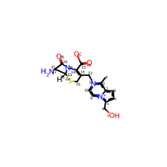 Cc1c2ccc(CO)[n+]-2ccn1CC1=C(C(=O)[O-])N2C(=O)C(N)[C@H]2SC1